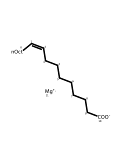 CCCCCCCC/C=C\CCCCCCCC(=O)[O-].[Mg+]